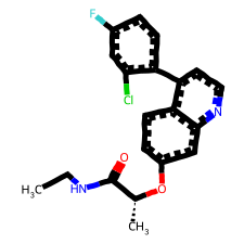 CCNC(=O)[C@@H](C)Oc1ccc2c(-c3ccc(F)cc3Cl)ccnc2c1